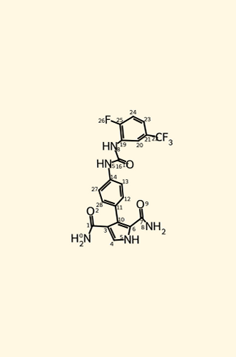 NC(=O)c1c[nH]c(C(N)=O)c1-c1ccc(NC(=O)Nc2cc(C(F)(F)F)ccc2F)cc1